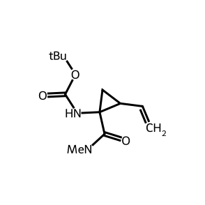 C=CC1CC1(NC(=O)OC(C)(C)C)C(=O)NC